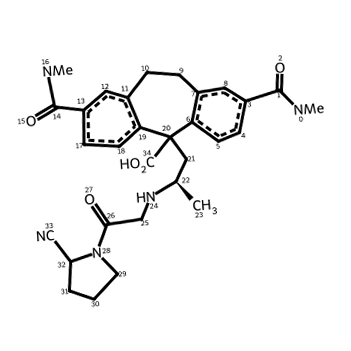 CNC(=O)c1ccc2c(c1)CCc1cc(C(=O)NC)ccc1C2(C[C@@H](C)NCC(=O)N1CCCC1C#N)C(=O)O